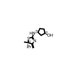 C=C1N=C(N[C@@H]2CC[C@@H](O)C2)S[C@@]1(C)C(C)C